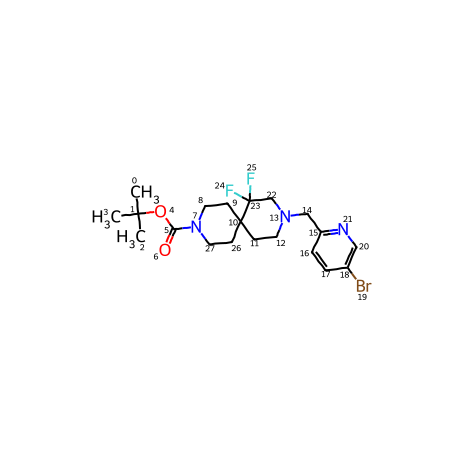 CC(C)(C)OC(=O)N1CCC2(CCN(Cc3ccc(Br)cn3)CC2(F)F)CC1